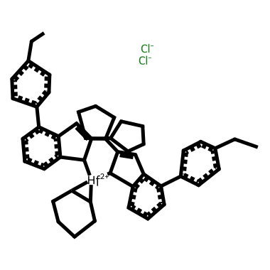 CCc1ccc(-c2cccc3c2C=C(C2CCCC2)[CH]3[Hf+2]2([CH]3C(C4CCCC4)=Cc4c(-c5ccc(CC)cc5)cccc43)[CH]3CCCC[CH]32)cc1.[Cl-].[Cl-]